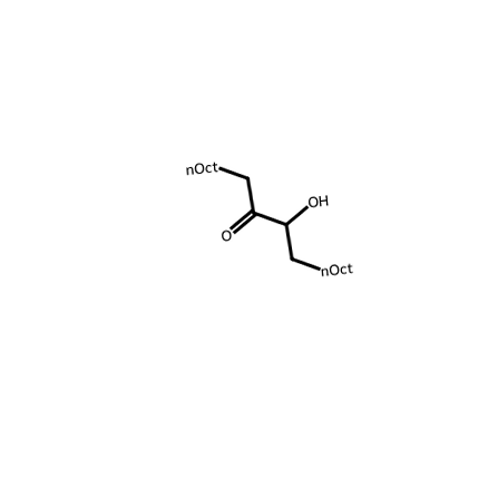 CCCCCCCCCC(=O)C(O)CCCCCCCCC